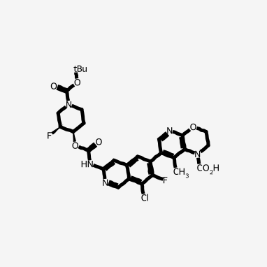 Cc1c(-c2cc3cc(NC(=O)O[C@@H]4CCN(C(=O)OC(C)(C)C)C[C@@H]4F)ncc3c(Cl)c2F)cnc2c1N(C(=O)O)CCO2